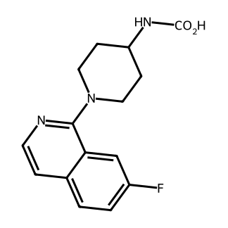 O=C(O)NC1CCN(c2nccc3ccc(F)cc23)CC1